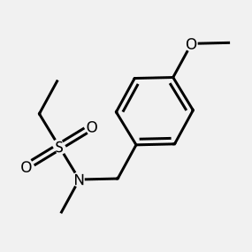 CCS(=O)(=O)N(C)Cc1ccc(OC)cc1